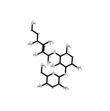 NCC1OC(OC2C(N)CC(N)C(OC(O)/C(O)=C(\N)C(O)CCO)C2O)C(N)CC1O